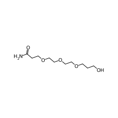 NC(=O)CCOCCOCCOCCCO